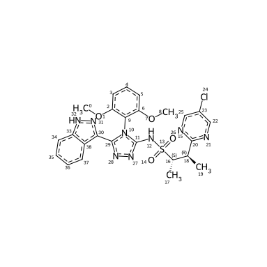 COc1cccc(OC)c1-n1c(NS(=O)(=O)[C@@H](C)[C@H](C)c2ncc(Cl)cn2)nnc1-c1n[nH]c2ccccc12